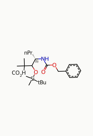 CCC[C@H](NC(=O)OCc1ccccc1)C(O[Si](C)(C)C(C)(C)C)C(C)(C)C(=O)O